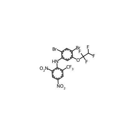 O=[N+]([O-])c1cc([N+](=O)[O-])c(Nc2cc(OC(F)(F)C(F)F)c(Br)cc2Br)c(C(F)(F)F)c1